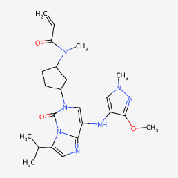 C=CC(=O)N(C)C1CCC(n2cc(Nc3cn(C)nc3OC)c3ncc(C(C)C)n3c2=O)C1